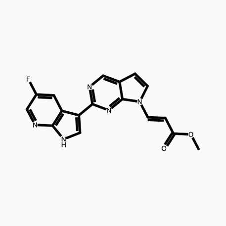 COC(=O)/C=C/n1ccc2cnc(-c3c[nH]c4ncc(F)cc34)nc21